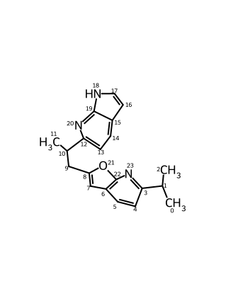 CC(C)c1ccc2cc(CC(C)c3ccc4cc[nH]c4n3)oc2n1